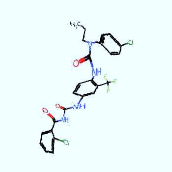 CCCN(C(=O)Nc1ccc(NC(=O)NC(=O)c2ccccc2Cl)cc1C(F)(F)F)c1ccc(Cl)cc1